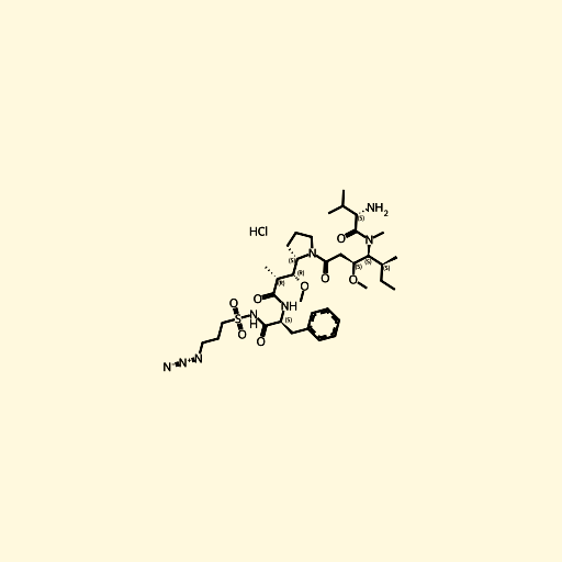 CC[C@H](C)[C@@H]([C@H](CC(=O)N1CCC[C@H]1[C@H](OC)[C@@H](C)C(=O)N[C@@H](Cc1ccccc1)C(=O)NS(=O)(=O)CCCN=[N+]=[N-])OC)N(C)C(=O)[C@@H](N)C(C)C.Cl